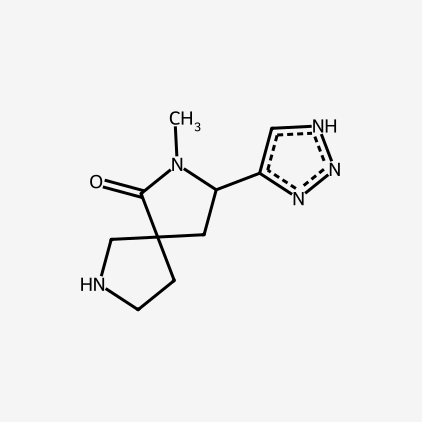 CN1C(=O)C2(CCNC2)CC1c1c[nH]nn1